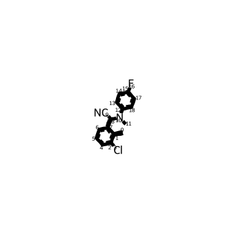 C=c1c(Cl)ccc/c1=C(\C#N)N(C)c1ccc(F)cc1